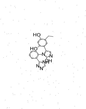 CCc1cc(-c2cnc(O)n2-c2ccccc2-c2nnc[nH]2)c(O)cc1O